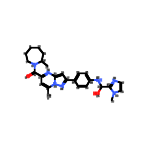 CCc1cc(C(=O)N2CCCCCC2C)nc2cc(-c3ccc(NC(O)c4nccn4C)cc3)nn12